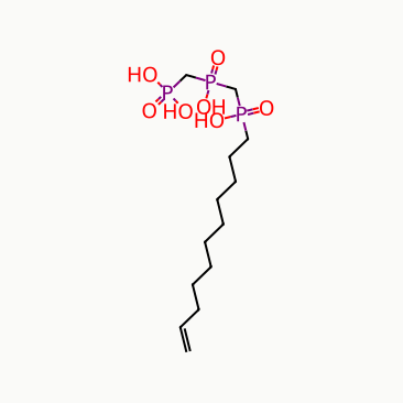 C=CCCCCCCCCCP(=O)(O)CP(=O)(O)CP(=O)(O)O